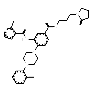 Cc1ccccc1N1CCN(c2ccc(C(=O)NCCCN3CCCC3=O)cc2NC(=O)c2ccoc2C)CC1